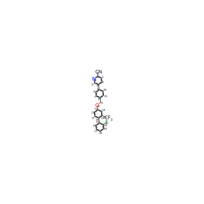 N#Cc1ccc(-c2ccc(COc3ccc(-c4ccccc4F)c(C(F)(F)F)c3)cc2)cn1